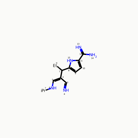 CCC(/C(C=N)=C/NC(C)C)c1ccc(C(=N)N)[nH]1